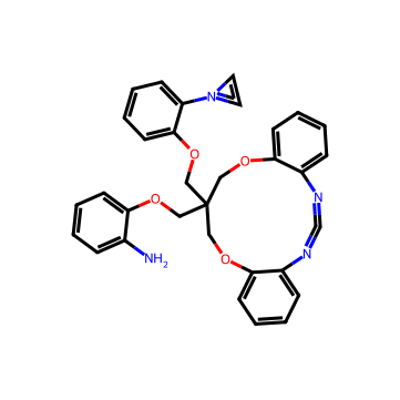 Nc1ccccc1OCC1(COc2ccccc2[N+]2=C=C2)COc2ccccc2N=C=Nc2ccccc2OC1